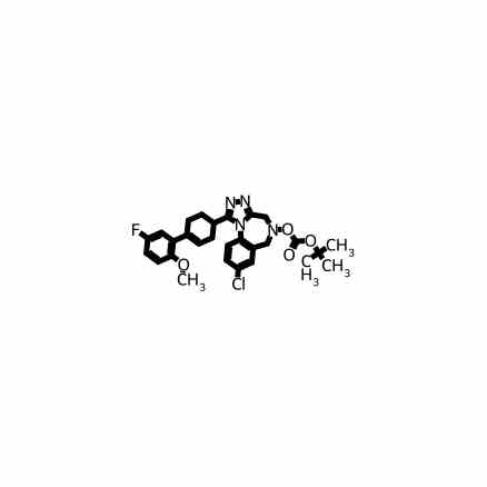 COc1ccc(F)cc1C1=CCC(c2nnc3n2-c2ccc(Cl)cc2CN(OC(=O)OC(C)(C)C)C3)CC1